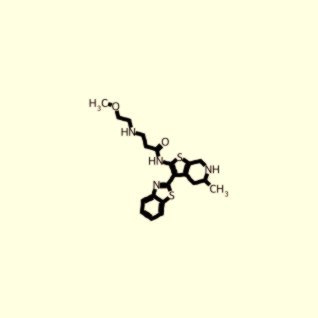 COCCNCCC(=O)Nc1sc2c(c1-c1nc3ccccc3s1)CC(C)NC2